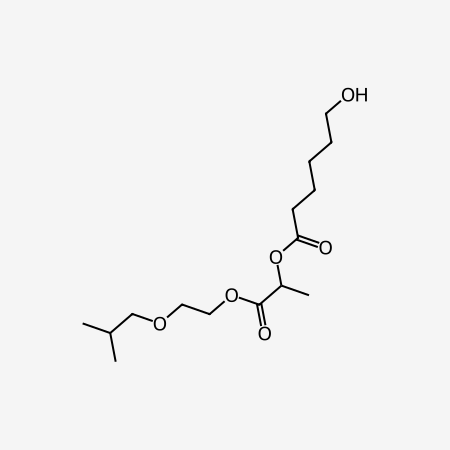 CC(C)COCCOC(=O)C(C)OC(=O)CCCCCO